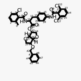 Cc1cccc(Cl)c1C(=O)NC(Cc1ccc(NC(=O)c2c(Cl)cccc2Cl)cc1)C(=O)O[C@H]1CO[C@H]2[C@@H]1OC[C@@H]2OCc1ccccc1